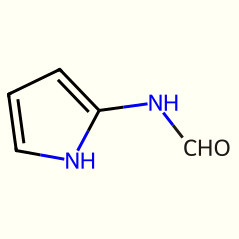 O=CNc1ccc[nH]1